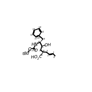 C/C=C/C[C@H](C[C@H](O)[C@H](Cc1ccccc1)NC(=O)OC(C)(C)C)C(=O)O